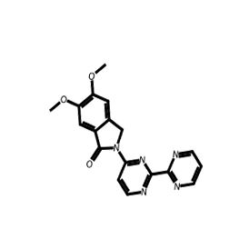 COc1cc2c(cc1OC)C(=O)N(c1ccnc(-c3ncccn3)n1)C2